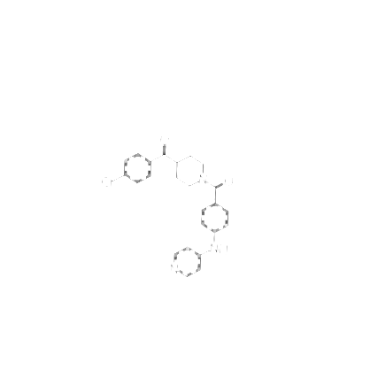 O=C(c1ccc(Cl)cc1)C1CCN(C(=O)c2ccc(Nc3ccncc3)cc2)CC1